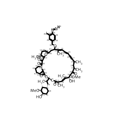 CO[C@@H]1C[C@H](C[C@@H](C)[C@@H]2CC(=O)[C@H](C)/C=C(\C)[C@@H](O)[C@@H](OC)C(=O)[C@H](C)C[C@H](C)/C=C/C=C/C=C(\C)C(OCc3ccc(N=[N+]=[N-])c(I)c3)C[C@@H]3CC[C@@H](C)[C@@](O)(O3)C(=O)C(=O)N3CCCC[C@H]3C(=O)O2)CC[C@H]1O